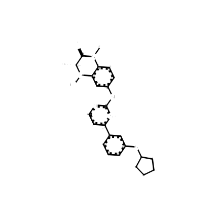 CC(C)N1c2cc(Nc3nccc(-c4cccc(NC5CCCC5)c4)n3)ccc2N(C)C(=O)[C@H]1C